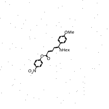 CCCCCC/C(=C\C=C\C(=O)Oc1ccc([N+](=O)[O-])cc1)c1ccc(OC)cc1